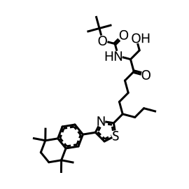 CCCC(CCCC(=O)C(CO)NC(=O)OC(C)(C)C)c1nc(-c2ccc3c(c2)C(C)(C)CCC3(C)C)cs1